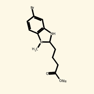 COC(=O)CCCC1Nc2cc(Br)ccc2N1C